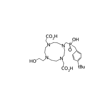 CC(C)(C)c1ccc(CP(=O)(O)CN2CCN(CC(=O)O)CCN(CCO)CCN(CC(=O)O)CC2)cc1